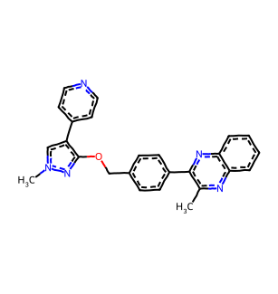 Cc1nc2ccccc2nc1-c1ccc(COc2nn(C)cc2-c2ccncc2)cc1